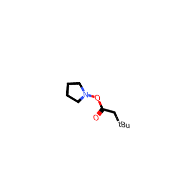 CC(C)(C)CC(=O)ON1CCCC1